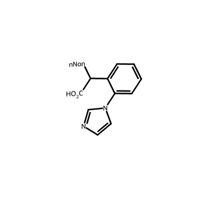 CCCCCCCCCC(C(=O)O)c1ccccc1-n1ccnc1